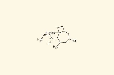 C/C=C\[C@@H](CC)C1C(C)CC(CC)CC2CCC21NC